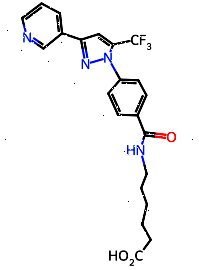 O=C(O)CCCCCNC(=O)c1ccc(-n2nc(-c3cccnc3)cc2C(F)(F)F)cc1